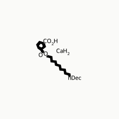 CCCCCCCCCCCCCCCCCCCCOC(=O)c1cccc(C(=O)O)c1.[CaH2]